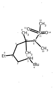 CCC(CNC(C)(C)C)CC(C)(C)N(C)S(C)(=O)=O